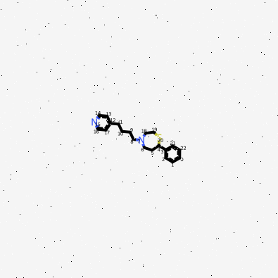 c1ccc(C2CCN(CCCCc3ccncc3)CCS2)cc1